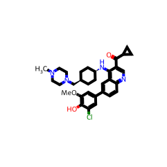 COc1cc(-c2ccc3ncc(C(=O)C4CC4)c(N[C@H]4CC[C@H](CN5CCN(C)CC5)CC4)c3c2)cc(Cl)c1O